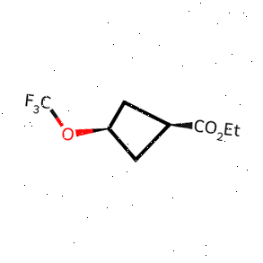 CCOC(=O)[C@H]1C[C@@H](OC(F)(F)F)C1